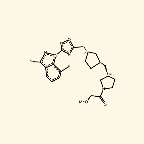 COCC(=O)N1CC[C@H](CN2CC[C@H](Cc3nc(-n4nc(C(C)C)c5cccc(F)c54)no3)C2)C1